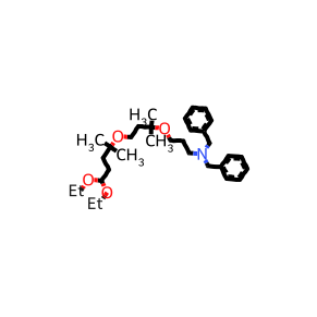 CCOC(CCC(C)(C)OCCC(C)(C)OCCCN(Cc1ccccc1)Cc1ccccc1)OCC